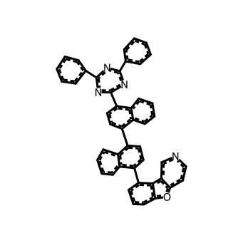 c1ccc(-c2nc(-c3ccccc3)nc(-c3ccc(-c4ccc(-c5cccc6oc7ccncc7c56)c5ccccc45)c4ccccc34)n2)cc1